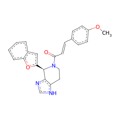 COc1ccc(/C=C/C(=O)N2CCc3[nH]cnc3[C@H]2c2cc3ccccc3o2)cc1